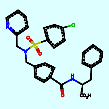 O=C(N[C@H](Cc1ccccc1)C(=O)O)c1ccc(CN(Cc2ccccn2)S(=O)(=O)c2ccc(Cl)cc2)cc1